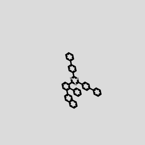 c1ccc(-c2ccc(-c3nc(-c4ccc(-c5ccccc5)cc4)nc(-c4cccc(-c5ccc6ccccc6c5)c4-c4ccccc4)n3)cc2)cc1